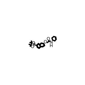 CC1(C)OB(c2ccc3ccc(OCC(=O)NC4CC=CCC4)cc3c2)OC1(C)C